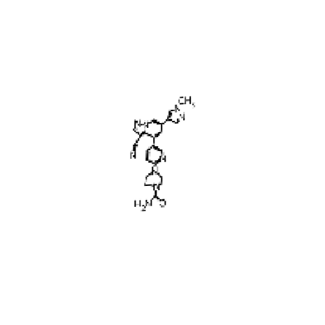 Cn1cc(-c2cc(-c3ccc(N4CCN(C(N)=O)CC4)nc3)c3c(C#N)cnn3c2)cn1